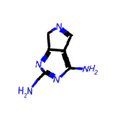 Nc1nc(N)c2c(n1)CN=C2